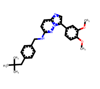 COc1ccc(-c2cnc3ccc(NCc4ccc(CC(C)(C)C)cc4)nn23)cc1OC